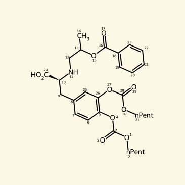 CCCCCOC(=O)Oc1ccc(C[C@H](NCC(C)OC(=O)c2ccccc2)C(=O)O)cc1OC(=O)OCCCCC